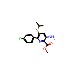 COC(=O)c1nc(-c2ccc(F)cc2)c(SC(C)C)cc1N